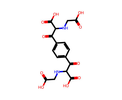 O=C(O)CNC(C(=O)O)C(=O)c1ccc(C(=O)C(NCC(=O)O)C(=O)O)cc1